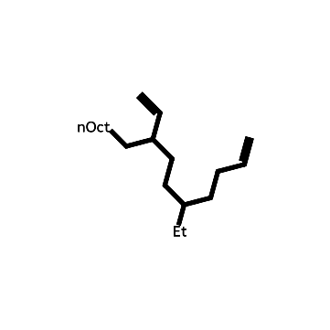 C=CCCC(CC)CCC(C=C)CCCCCCCCC